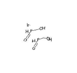 O=[PH2]O.O=[PH2]O.[Ir]